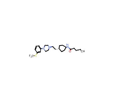 N#CCCCC(=O)N[C@H]1CC[C@H](CCN2CCN(c3cccc(SC(F)(F)F)c3)CC2)CC1